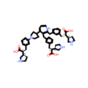 O=C(O)[C@@H](Cc1cccc(CC2=C(Cc3cccc(C[C@H](C(=O)O)[C@H]4CCNC4)c3)C(C3CCN(c4cccc(C[C@H](C(=O)O)[C@H]5CCNC5)c4)CC3)=CC=CN2)c1)[C@H]1CCNC1